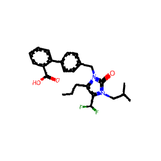 CCCc1c(C(F)F)n(CC(C)C)c(=O)n1Cc1ccc(-c2ccccc2C(=O)O)cc1